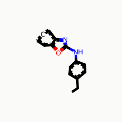 CCc1ccc(Nc2nc3ccccc3o2)cc1